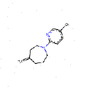 C=C1CCCN(c2ccc(C#N)cn2)CC1